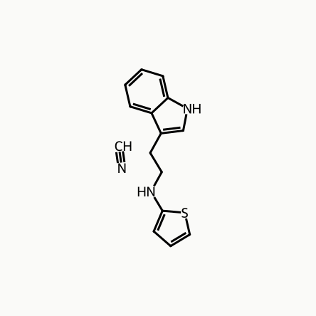 C#N.c1csc(NCCc2c[nH]c3ccccc23)c1